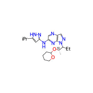 CCC([C@H](C)OC1CCCCO1)n1ncc2ncc(Nc3cc(C(C)C)[nH]n3)nc21